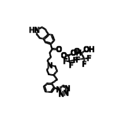 O=C(CCCN1CCC(Cc2ccccc2-n2cnnn2)CC1)c1ccc2c(c1)CCNCC2.O=C(O)C(F)(F)F.O=C(O)C(F)(F)F